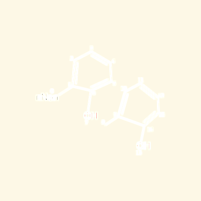 CCCCCCCCCc1ccccc1O.Cc1ccccc1O